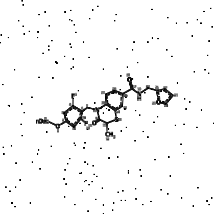 CCCCCCCCCCOc1cc(F)c(CN2C(=O)C(C)Sc3cc(C(=O)NCc4ccco4)ccc32)c(F)c1